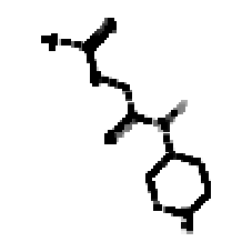 CN(C(=O)COC(=O)C(F)(F)F)C1CCNCC1